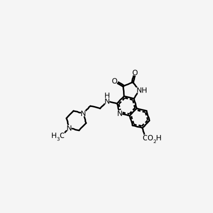 CN1CCN(CCNc2nc3cc(C(=O)O)ccc3c3c2C(=O)C(=O)N3)CC1